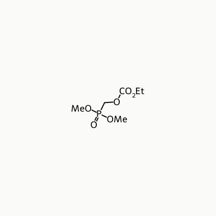 CCOC(=O)OCP(=O)(OC)OC